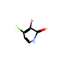 O=c1[nH]ccc(F)c1Br